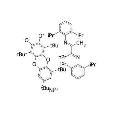 CC(C)(C)c1cc2c(c(C(C)(C)C)c1)Oc1c(c(C(C)(C)C)c([O-])c([O-])c1C(C)(C)C)O2.CCCC(=Nc1c(C(C)C)cccc1C(C)C)C(C)=Nc1c(C(C)C)cccc1C(C)C.[Ni+2]